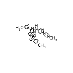 Cc1ccc(S(=O)(=O)n2ccc3c(-c4cc(C)cs4)nc(Nc4ccc(N5CCN(C)CC5)nc4)nc32)cc1